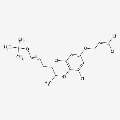 CC(CC/C=N/OC(C)(C)C)Oc1c(Cl)cc(OCC=C(Cl)Cl)cc1Cl